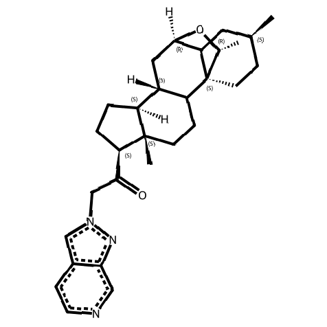 C[C@H]1CC[C@@]23C4CC[C@]5(C)[C@@H](C(=O)Cn6cc7ccncc7n6)CC[C@H]5[C@@H]4C[C@@H](O[C@@H]2C)C3C1